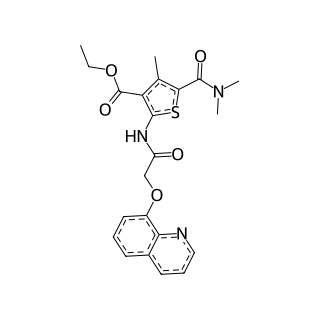 CCOC(=O)c1c(NC(=O)COc2cccc3cccnc23)sc(C(=O)N(C)C)c1C